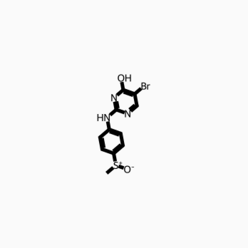 C[S+]([O-])c1ccc(Nc2ncc(Br)c(O)n2)cc1